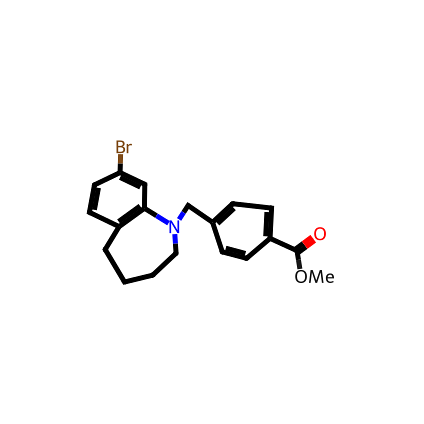 COC(=O)c1ccc(CN2CCCCc3ccc(Br)cc32)cc1